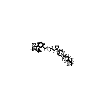 O=C(CCOCCc1cccc2c(=O)[nH]nnc12)N1CCN(c2ncc(C(F)(F)F)cn2)CC1